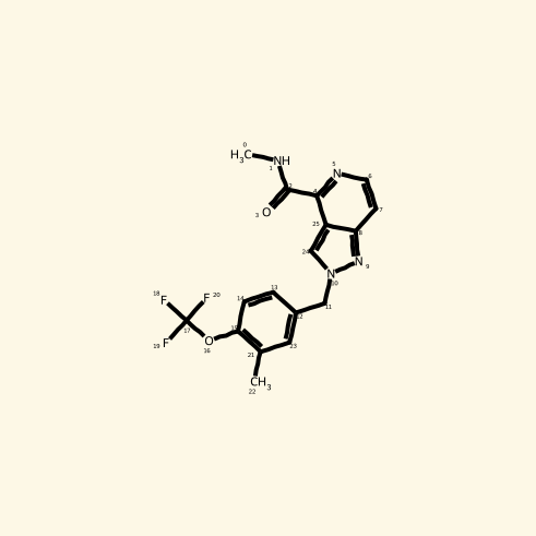 CNC(=O)c1nccc2nn(Cc3ccc(OC(F)(F)F)c(C)c3)cc12